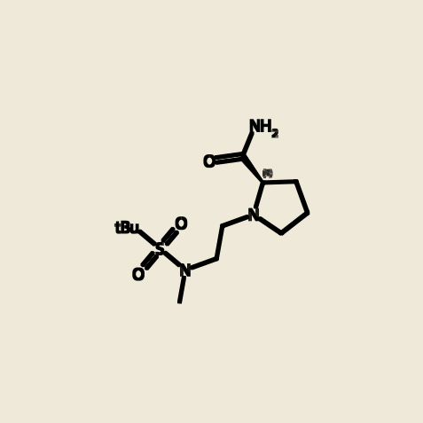 CN(CCN1CCC[C@@H]1C(N)=O)S(=O)(=O)C(C)(C)C